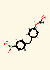 OBOc1ccc(Cc2ccc(B(O)O)cc2)cc1